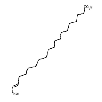 CCCCCCCCCC=CCCCCCCCCCCCCCCCCC(=O)O